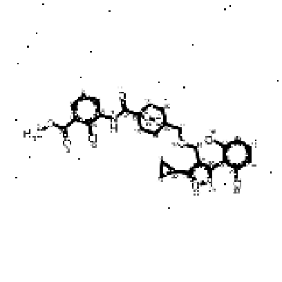 COC(=O)c1cccc(NC(=O)C23CCC(COCc4c(-c5c(Cl)cccc5Cl)noc4C4CC4)(CC2)CC3)c1Cl